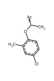 CC(=O)[C@@H](C)Oc1ccc(Cl)cc1C